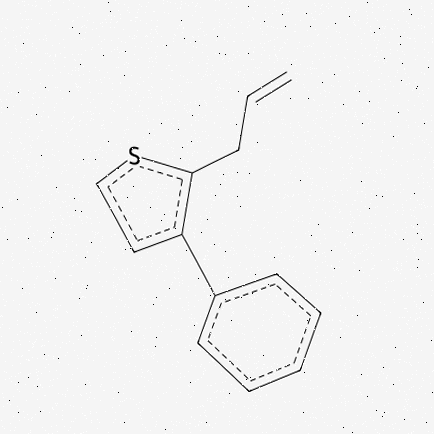 C=CCc1sccc1-c1ccccc1